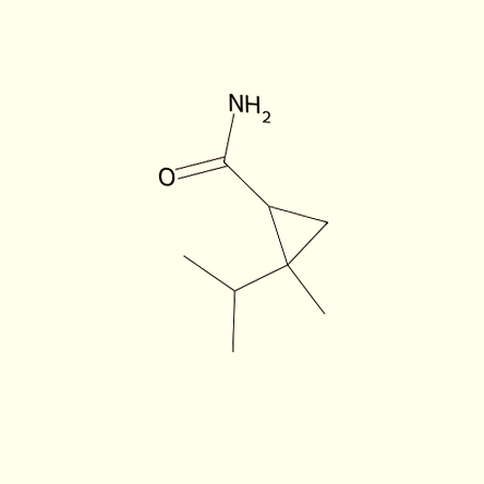 CC(C)C1(C)CC1C(N)=O